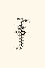 CO/C(N)=C/C=C(\N)NC(=O)c1cccc(NCCCCCCCN)c1C